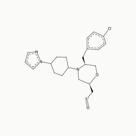 O=[S+]C[C@H]1CN(C2CCC(n3cccn3)CC2)[C@@H](Cc2ccc(Cl)cc2)CO1